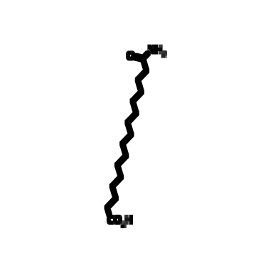 NC(=O)CCCCCCCCCCCCCCC(=O)O